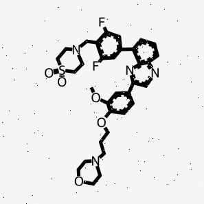 COc1cc(-c2cnc3cccc(-c4cc(F)c(CN5CCS(=O)(=O)CC5)c(F)c4)c3n2)ccc1OCCCN1CCOCC1